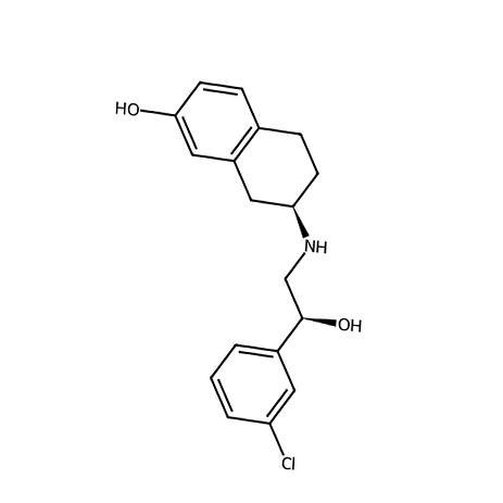 Oc1ccc2c(c1)C[C@H](NC[C@@H](O)c1cccc(Cl)c1)CC2